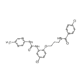 Cc1cnc(NC(=O)Nc2cc(Cl)ccc2OCCCNC(=O)c2ccc(Cl)cc2)cn1